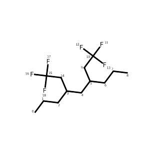 CCCC(CC(CCC)CC(F)(F)F)CC(F)(F)F